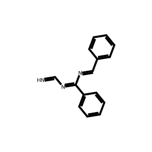 N=C/N=C(\N=C\c1ccccc1)c1ccccc1